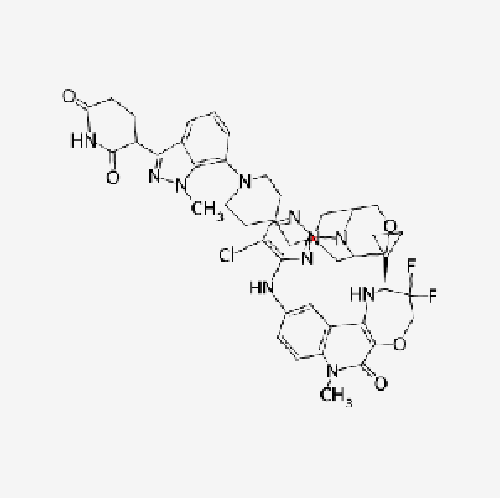 Cn1nc(C2CCC(=O)NC2=O)c2cccc(N3CCC(CN4CC5COCC(C4)N5c4ncc(Cl)c(Nc5ccc6c(c5)c5c(c(=O)n6C)OCC(F)(F)[C@H](C6CC6)N5)n4)CC3)c21